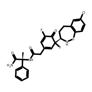 C[C@](NC(=O)CC1=CC(F)([C@H]2CCc3cc(Cl)ccc3SN2)C(=O)C(F)=C1)(C(N)=O)c1ccccc1